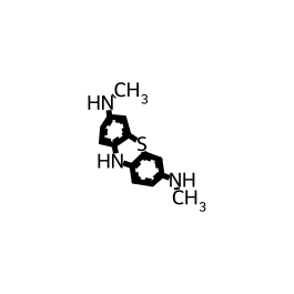 CNc1ccc2c(c1)Sc1cc(NC)ccc1N2